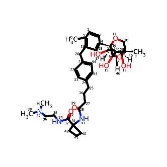 Cc1ccc([C@@]23CO[C@@](C)(CO2)[C@@H](O)[C@H](O)[C@H]3O)cc1Cc1ccc(CCCC(=O)NC2(C(=O)NCCN(C)C)CCC2)cc1